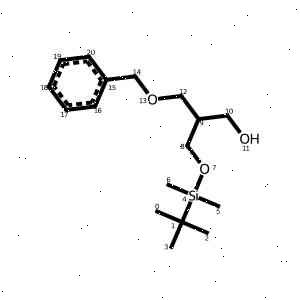 CC(C)(C)[Si](C)(C)OCC(CO)COCc1ccccc1